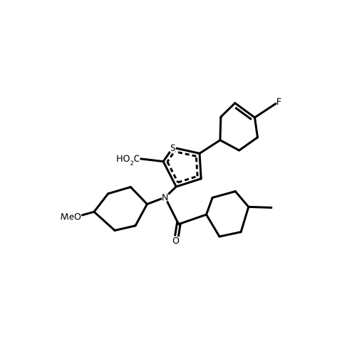 COC1CCC(N(C(=O)C2CCC(C)CC2)c2cc(C3CC=C(F)CC3)sc2C(=O)O)CC1